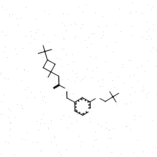 O=C(CC1(O)CC(C(F)(F)F)C1)NCc1ccnc(OCC(F)(F)F)c1